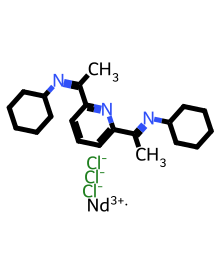 CC(=NC1CCCCC1)c1cccc(C(C)=NC2CCCCC2)n1.[Cl-].[Cl-].[Cl-].[Nd+3]